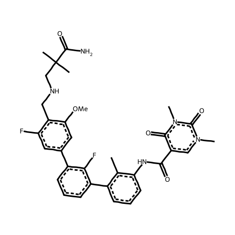 COc1cc(-c2cccc(-c3cccc(NC(=O)c4cn(C)c(=O)n(C)c4=O)c3C)c2F)cc(F)c1CNCC(C)(C)C(N)=O